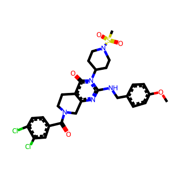 COc1ccc(CNc2nc3c(c(=O)n2C2CCN(S(C)(=O)=O)CC2)CCN(C(=O)c2ccc(Cl)c(Cl)c2)C3)cc1